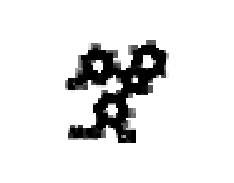 COc1ccc(-c2nc3ccccn3c2-c2ccnc(Cl)n2)cc1C#N